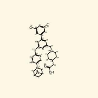 CN1C2CC1CN(c1cnc(Oc3cc(CN4CCC(CC(=O)O)CC4)cc(-c4cc(Cl)cc(Cl)c4)n3)cn1)C2